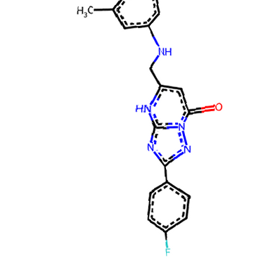 Cc1cccc(NCc2cc(=O)n3nc(-c4ccc(F)cc4)nc3[nH]2)c1